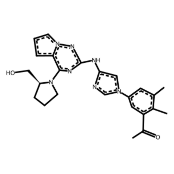 CC(=O)c1cc(-n2cnc(Nc3nc(N4CCC[C@H]4CO)c4cccn4n3)c2)cc(C)c1C